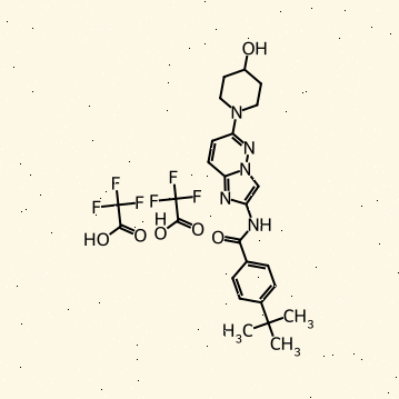 CC(C)(C)c1ccc(C(=O)Nc2cn3nc(N4CCC(O)CC4)ccc3n2)cc1.O=C(O)C(F)(F)F.O=C(O)C(F)(F)F